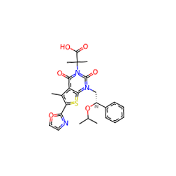 Cc1c(-c2ncco2)sc2c1c(=O)n(C(C)(C)C(=O)O)c(=O)n2C[C@@H](OC(C)C)c1ccccc1